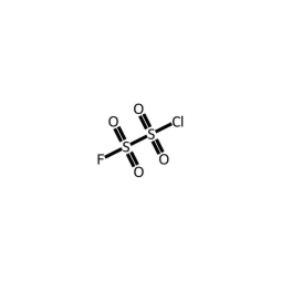 O=S(=O)(F)S(=O)(=O)Cl